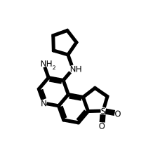 Nc1cnc2ccc3c(c2c1NC1CCCC1)CCS3(=O)=O